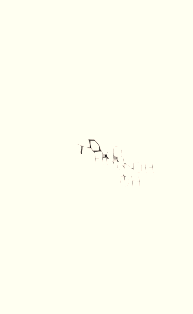 C=C(C)c1cccc(C(C)(C)NC(=O)N(CCO)CCO)c1